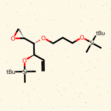 C=C[C@@H](O[Si](C)(C)C(C)(C)C)[C@@H](OCCCO[Si](C)(C)C(C)(C)C)[C@H]1CO1